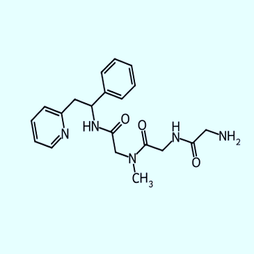 CN(CC(=O)NC(Cc1ccccn1)c1ccccc1)C(=O)CNC(=O)CN